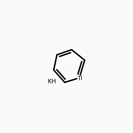 C1=C[CH]=[Tl][CH]=C1.[KH]